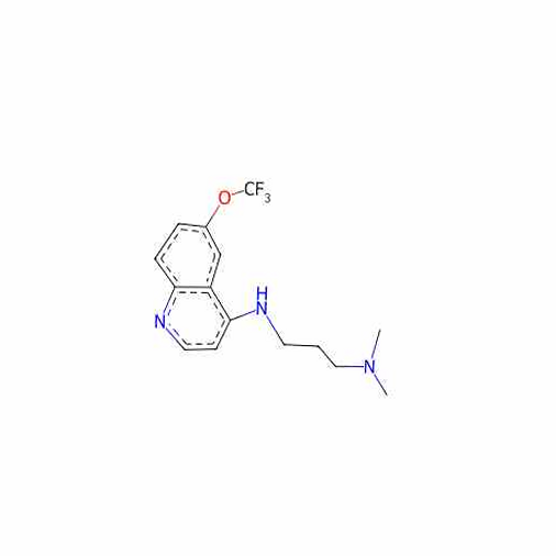 CN(C)CCCNc1ccnc2ccc(OC(F)(F)F)cc12